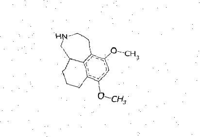 COc1cc(OC)c2c3c1CCCC3CNCC2